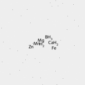 B.[CaH2].[Fe].[MgH2].[Mn].[Zn]